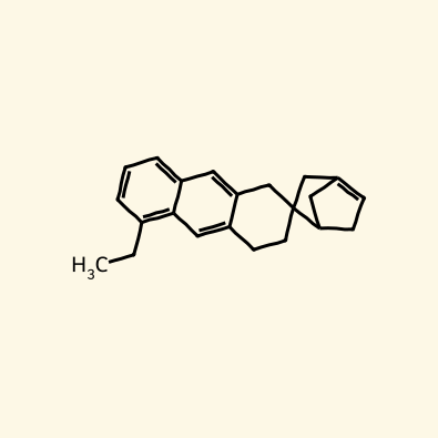 CCc1cccc2cc3c(cc12)CCC1(CC2=CCC1C2)C3